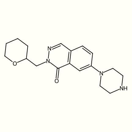 O=c1c2cc(N3CCNCC3)ccc2cnn1CC1CCCCO1